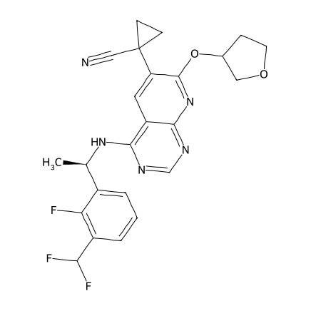 C[C@@H](Nc1ncnc2nc(OC3CCOC3)c(C3(C#N)CC3)cc12)c1cccc(C(F)F)c1F